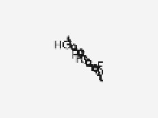 C=CCCOc1ccc(C2CCC(OCc3ccc(C4CCC(C(O)CCC)CC4)c(F)c3F)CC2)cc1F